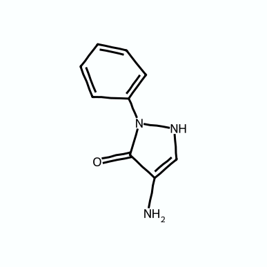 Nc1c[nH]n(-c2ccccc2)c1=O